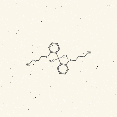 CC(C)(c1ccccc1OCCCO)c1ccccc1OCCCO